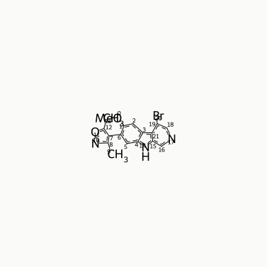 COc1cc2c(cc1-c1c(C)noc1C)[nH]c1cncc(Br)c12